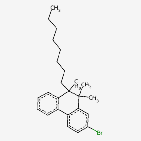 CCCCCCCCC1(C)c2ccccc2-c2ccc(Br)cc2C1(C)C